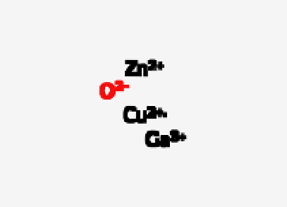 [Cu+2].[Ga+3].[O-2].[Zn+2]